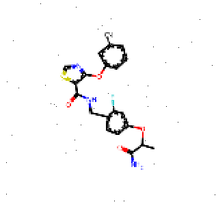 CC(Oc1ccc(CNC(=O)c2scnc2Oc2cccc(C#N)c2)c(F)c1)C(N)=O